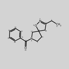 CCC1=NOC2(CCN(C(=O)c3ccccc3)C2)C1